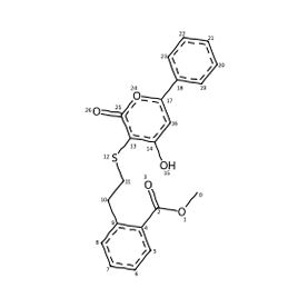 COC(=O)c1ccccc1CCSc1c(O)cc(-c2ccccc2)oc1=O